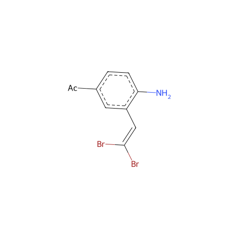 CC(=O)c1ccc(N)c(C=C(Br)Br)c1